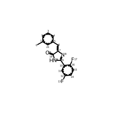 Cc1cccc(C=C2N=C(c3cc(F)ccc3F)NC2=O)c1